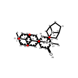 COc1ccc(NC2CC3CCC(C2)N3c2nc(-c3ccncc3)cc(=O)n2C)cc1